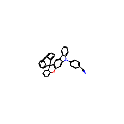 N#Cc1ccc(-n2c3ccccc3c3cc4c(cc32)Oc2ccccc2C42c3ccccc3-c3ccccc32)cc1